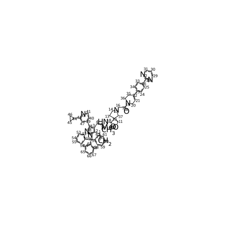 C=Cc1c(/C=C(\C)NC(=O)[C@]2(COC)CCN(CC(=O)N3CC=C(c4ccc(-c5ncccn5)cc4)CC3)C2)c(-c2ccnc(C3CC3)c2)nn1C(c1ccccc1)(c1ccccc1)c1ccccc1